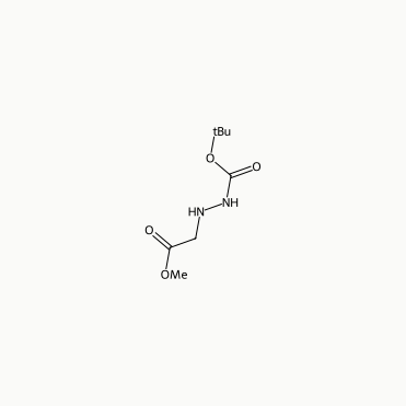 COC(=O)CNNC(=O)OC(C)(C)C